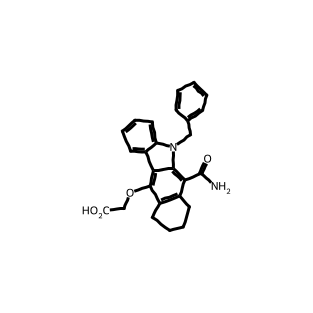 NC(=O)c1c2c(c(OCC(=O)O)c3c4ccccc4n(Cc4ccccc4)c13)CCCC2